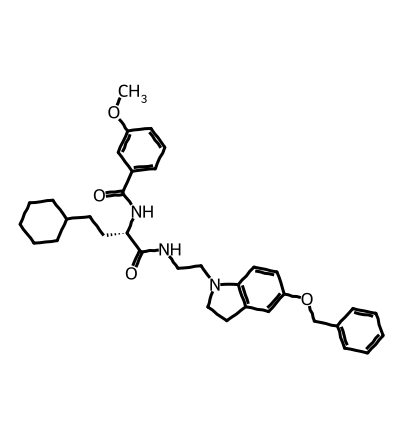 COc1cccc(C(=O)N[C@@H](CCC2CCCCC2)C(=O)NCCN2CCc3cc(OCc4ccccc4)ccc32)c1